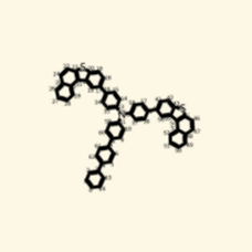 c1ccc(-c2ccc(-c3ccc(N(c4ccc(-c5ccc6sc7ccc8ccccc8c7c6c5)cc4)c4ccc(-c5ccc6sc7ccc8ccccc8c7c6c5)cc4)cc3)cc2)cc1